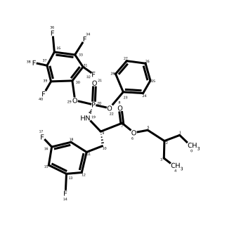 CCC(CC)COC(=O)[C@H](Cc1cc(F)cc(F)c1)N[P@](=O)(Oc1ccccc1)Oc1c(F)c(F)c(F)c(F)c1F